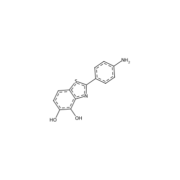 Nc1ccc(-c2nc3c(O)c(O)ccc3s2)cc1